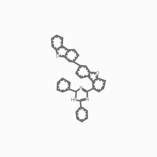 c1ccc(C2=NC(c3cccc4oc5cc(-c6ccc7c(c6)oc6ccccc67)ccc5c34)=NC(c3ccccc3)N2)cc1